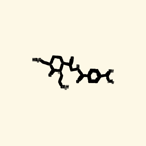 N=C(N)c1ccc(C(=O)NCC(=O)N2CCN(CC(=O)O)C(=O)[C@@H]2CCC(=O)O)cc1